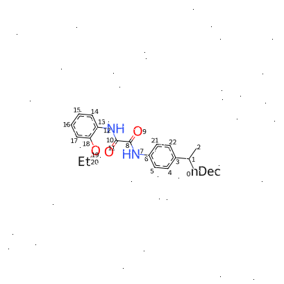 CCCCCCCCCCC(C)c1ccc(NC(=O)C(=O)Nc2ccccc2OCC)cc1